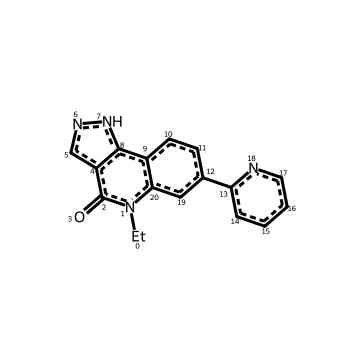 CCn1c(=O)c2cn[nH]c2c2ccc(-c3ccccn3)cc21